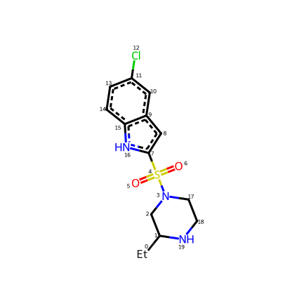 CCC1CN(S(=O)(=O)c2cc3cc(Cl)ccc3[nH]2)CCN1